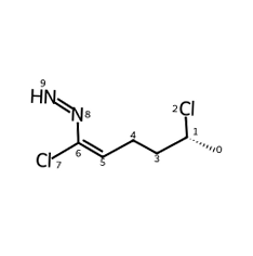 C[C@@H](Cl)CC/C=C(/Cl)N=N